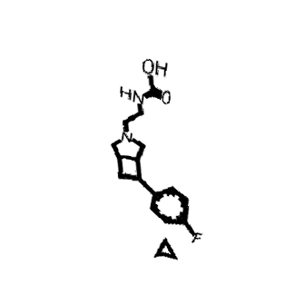 C1CC1.O=C(O)NCCN1CC2CC(c3ccc(F)cc3)C2C1